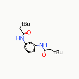 CC(C)(C)CC(=O)Nc1cccc(NC(=O)CC(C)(C)C)c1